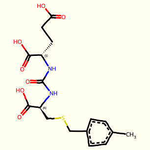 Cc1ccc(CSC[C@H](NC(=O)N[C@@H](CCC(=O)O)C(=O)O)C(=O)O)cc1